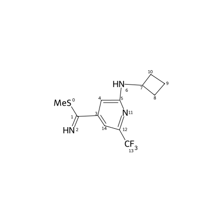 CSC(=N)c1cc(NC2CCC2)nc(C(F)(F)F)c1